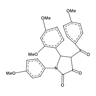 COc1ccc(C(=O)C2C(=O)C(=O)N(c3ccc(OC)cc3)C2c2ccc(OC)cc2OC)cc1